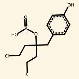 O=[PH](O)OC(CCCl)(CCCl)Cc1ccc(O)cc1